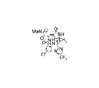 CNC(=O)C(=O)[C@H](C[C@@H]1C[C@@H](C)NC1=O)NC(=O)c1cc(Cl)ccc1NC(=O)c1ncc(C(F)(F)F)cn1